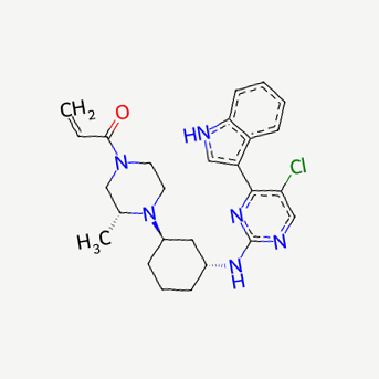 C=CC(=O)N1CCN([C@@H]2CCC[C@@H](Nc3ncc(Cl)c(-c4c[nH]c5ccccc45)n3)C2)[C@H](C)C1